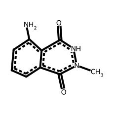 Cn1[nH]c(=O)c2c(N)cccc2c1=O